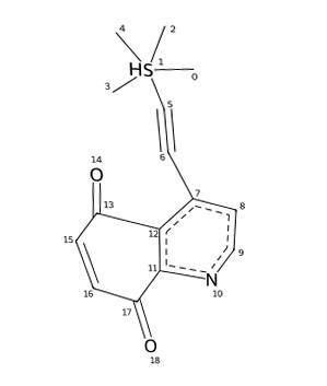 C[SH](C)(C)(C)C#Cc1ccnc2c1C(=O)C=CC2=O